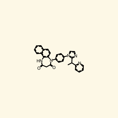 CC(c1ccccn1)c1nccn1-c1ccc(N2C(=O)CC(=O)Nc3c2ccc2ccccc32)cc1